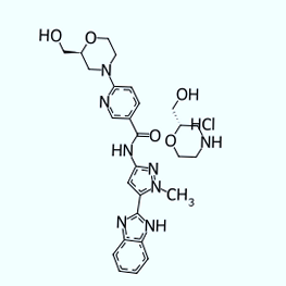 Cl.Cn1nc(NC(=O)c2ccc(N3CCO[C@H](CO)C3)nc2)cc1-c1nc2ccccc2[nH]1.OC[C@@H]1CNCCO1